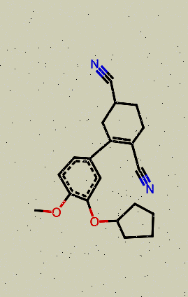 COc1ccc(C2=C(C#N)CCC(C#N)C2)cc1OC1CCCC1